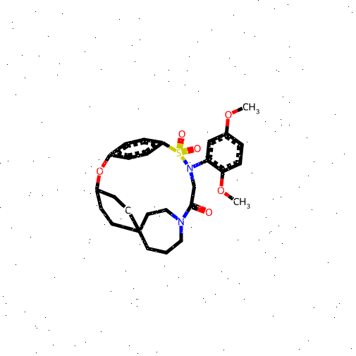 COc1ccc(OC)c(N2CC(=O)N3CCCC4(CCC(CC4)Oc4ccc(cc4)S2(=O)=O)CC3)c1